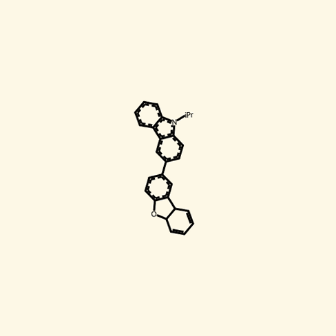 CC(C)n1c2ccccc2c2cc(-c3ccc4c(c3)C3C=CC=CC3O4)ccc21